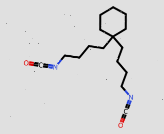 O=C=NCCCCC1(CCCCN=C=O)CCCCC1